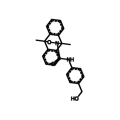 CC12ON(C(=O)Nc3ccc(CO)cc3)C(C)(c3ccccc31)c1ccccc12